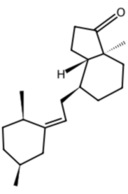 C[C@H]1CC[C@@H](C)/C(=C\C[C@@H]2CCC[C@]3(C)C(=O)CC[C@@H]23)C1